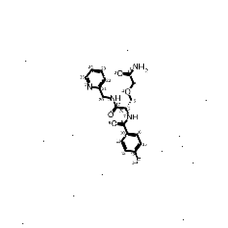 NC(=O)COC[C@H](NC(=O)c1ccc(F)cc1)C(=O)NCc1ccccn1